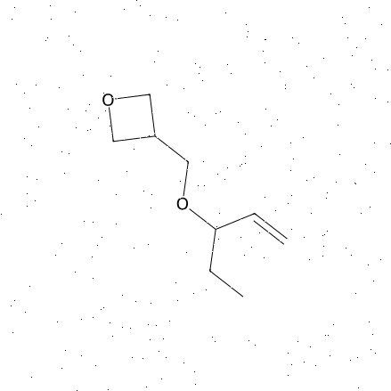 C=CC(CC)OCC1COC1